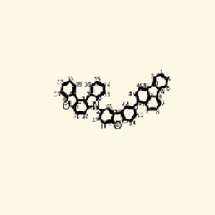 c1ccc2c(c1)-c1cccc3c(-c4ccc5oc6ccc(-n7c8ccccc8c8c9c(ccc87)oc7ccccc79)cc6c5c4)ccc-2c13